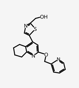 OCc1ncc(-c2cc(OCc3ccccn3)nc3c2CCCC3)s1